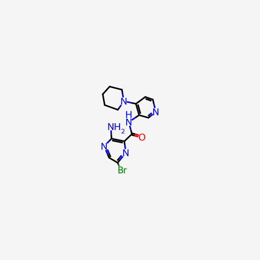 Nc1ncc(Br)nc1C(=O)Nc1cnccc1N1CCCCC1